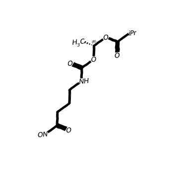 CC(C)C(=O)O[C@@H](C)OC(=O)NCCCC(=O)N=O